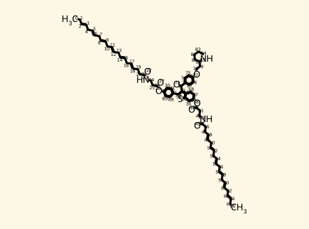 CCC=CCC=CCC=CCC=CCC=CCC=CCCC(=O)NCCC(=O)Oc1ccc(-c2sc3cc(OC(=O)CCNC(=O)CCC=CCC=CCC=CCC=CCC=CCC=CCC)ccc3c2C(=O)c2ccc(OCCC3CCCCN3)cc2)cc1